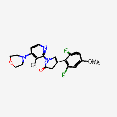 COc1cc(F)c([C@H]2CC(=O)N(c3nccc(N4CCOCC4)c3C(F)(F)F)C2)c(F)c1